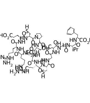 CC(C)[C@H](NC(=O)CNC(=O)[C@H](C)NC(=O)CNC(=O)[C@H](CS)NC(=O)[C@H](CCC(=O)O)NC(=O)[C@H](CC(=O)O)NC(=O)[C@H](CO)NC(=O)[C@@H]1CCCN1C(=O)[C@H](CS)NC(=O)[C@H](CCC(=O)O)NC(=O)[C@H](CCCNC(=N)N)NC(=O)[C@@H](N)CCCNC(=N)N)C(=O)N[C@@H](Cc1ccccc1)C(=O)O